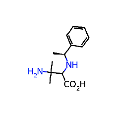 C[C@H](NC(C(=O)O)C(C)(C)N)c1ccccc1